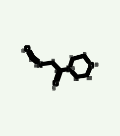 O=C=NCC(=O)N1CCOCC1